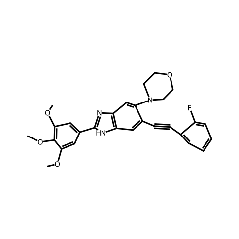 COc1cc(-c2nc3cc(N4CCOCC4)c(C#Cc4ccccc4F)cc3[nH]2)cc(OC)c1OC